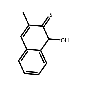 CC1=Cc2ccccc2C(O)C1=S